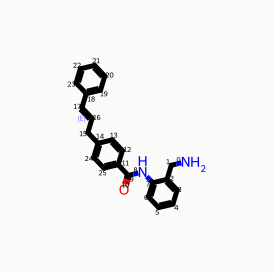 NCc1cc[c]cc1NC(=O)c1ccc(C/C=C/c2ccccc2)cc1